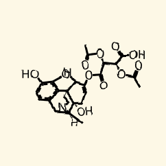 CC(=O)O[C@H](C(=O)O)[C@H](OC(C)=O)C(=O)OC1=CC[C@@]2(O)[C@H]3Cc4ccc(O)c5c4[C@@]2(CCN3C)[C@H]1O5